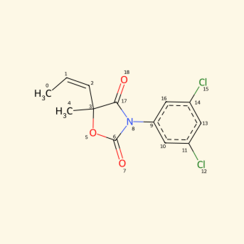 C/C=C\C1(C)OC(=O)N(c2cc(Cl)cc(Cl)c2)C1=O